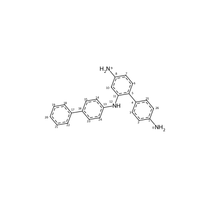 Nc1ccc(-c2ccc(N)cc2Nc2ccc(-c3ccccc3)cc2)cc1